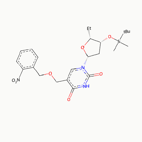 CC[C@H]1O[C@@H](n2cc(COCc3ccccc3[N+](=O)[O-])c(=O)[nH]c2=O)C[C@H]1O[Si](C)(C)C(C)(C)C